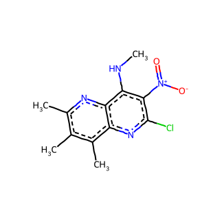 CNc1c([N+](=O)[O-])c(Cl)nc2c(C)c(C)c(C)nc12